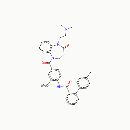 COc1cc(C(=O)N2CCC(=O)N(CCN(C)C)c3ccccc32)ccc1NC(=O)c1ccccc1-c1ccc(C)cc1